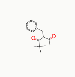 CC(=O)C(Cc1ccccc1)C(=O)C(C)(C)C